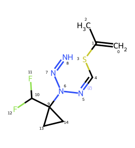 C=C(C)S/C=N\N(N=N)C1(C(F)F)CC1